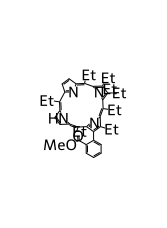 CCC1=C(c2ccccc2C(=O)OC)c2nc1c(CC)c1c(CC)c(CC)c(c(CC)c3nc(c(CC)c4ccc([nH]4)c2CC)C=C3)n1CC